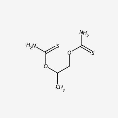 CC(COC(N)=S)OC(N)=S